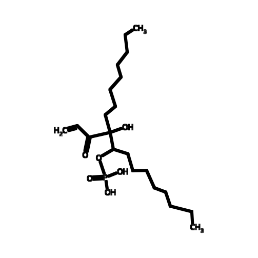 C=CC(=O)C(O)(CCCCCCCC)C(CCCCCCCC)OP(=O)(O)O